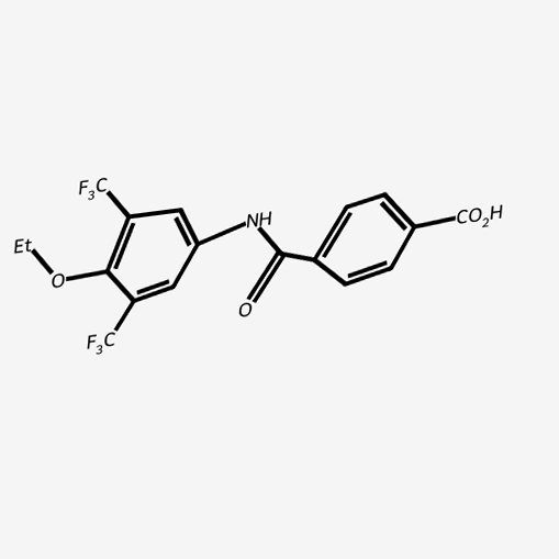 CCOc1c(C(F)(F)F)cc(NC(=O)c2ccc(C(=O)O)cc2)cc1C(F)(F)F